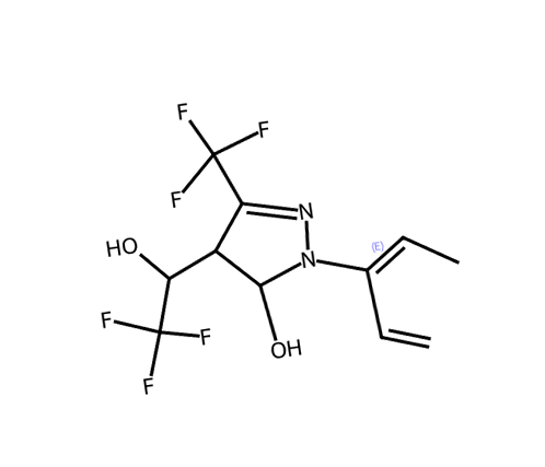 C=C/C(=C\C)N1N=C(C(F)(F)F)C(C(O)C(F)(F)F)C1O